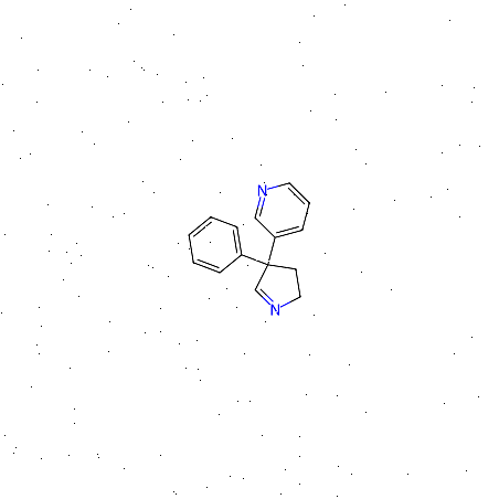 C1=NCCC1(c1ccccc1)c1cccnc1